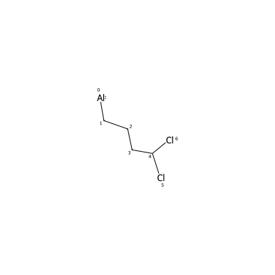 [Al][CH2]CCC(Cl)Cl